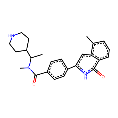 Cc1cccc2c(=O)[nH]c(-c3ccc(C(=O)N(C)C(C)C4CCNCC4)cc3)cc12